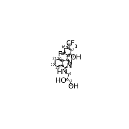 OC[C@@H](O)CNc1nnc(-c2c(O)cc(C(F)(F)F)cc2F)c2ccccc12